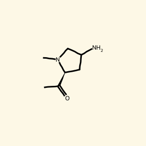 CC(=O)[C@@H]1CC(N)CN1C